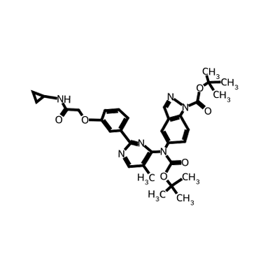 Cc1cnc(-c2cccc(OCC(=O)NC3CC3)c2)nc1N(C(=O)OC(C)(C)C)c1ccc2c(cnn2C(=O)OC(C)(C)C)c1